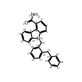 NC(=O)c1cccc2c1c1ccccc1n2Cc1ccccc1Cc1ccccc1